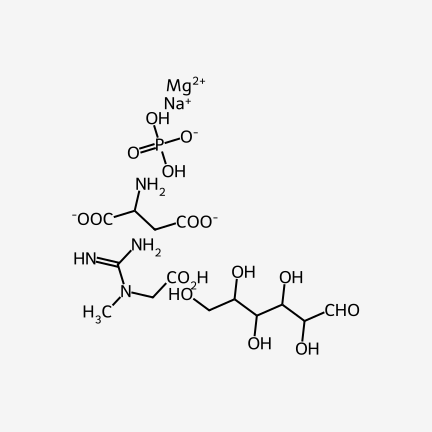 CN(CC(=O)O)C(=N)N.NC(CC(=O)[O-])C(=O)[O-].O=CC(O)C(O)C(O)C(O)CO.O=P([O-])(O)O.[Mg+2].[Na+]